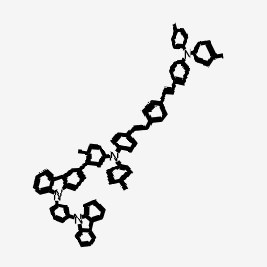 Cc1ccc(N(c2ccc(C)cc2)c2ccc(C=Cc3ccc(C=Cc4ccc(N(c5ccc(C)cc5)c5ccc(C)c(-c6ccc7c(c6)c6ccccc6n7-c6cccc(-n7c8ccccc8c8ccccc87)c6)c5)cc4)cc3)cc2)cc1